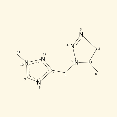 CC1CN=NN1Cc1ncn(C)n1